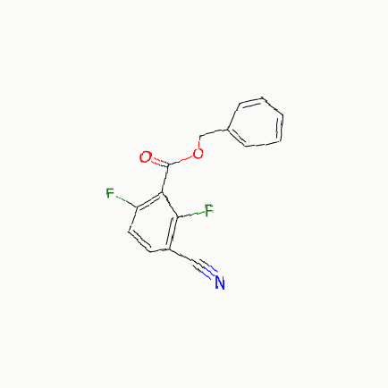 N#Cc1ccc(F)c(C(=O)OCc2ccccc2)c1F